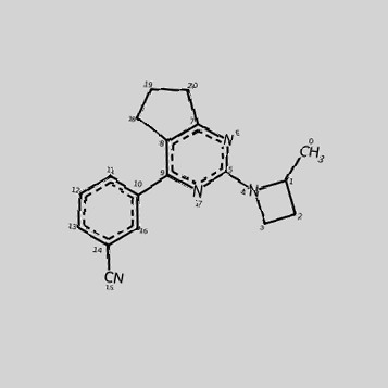 CC1CCN1c1nc2c(c(-c3cccc(C#N)c3)n1)CCC2